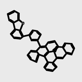 c1cc(-c2c3ccccc3c(-c3ccccc3-c3ccc4ccccc4c3)c3ccccc23)cc(-c2cccc3c2oc2ccccc23)c1